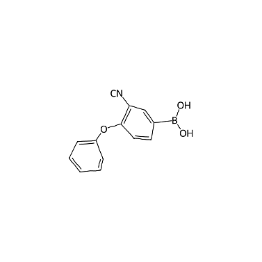 [C-]#[N+]c1cc(B(O)O)ccc1Oc1ccccc1